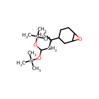 CC([SiH2]C(O[Si](C)(C)C)O[Si](C)(C)C)C1CCC2OC2C1